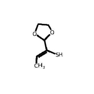 C/C=C(\S)C1OCCO1